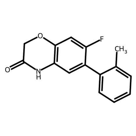 Cc1ccccc1-c1cc2c(cc1F)OCC(=O)N2